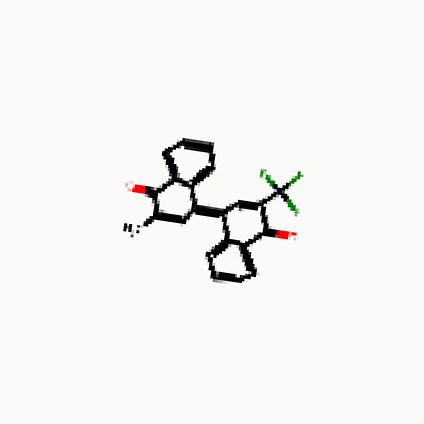 CC1=C/C(=C2/C=C(C(F)(F)F)C(=O)c3ccccc32)c2ccccc2C1=O